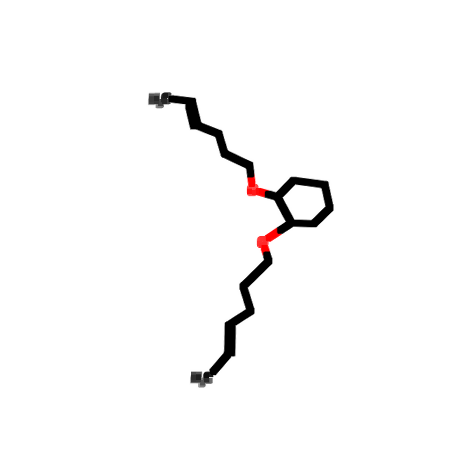 C/C=C/CCCOC1CCCCC1OCCC/C=C/C